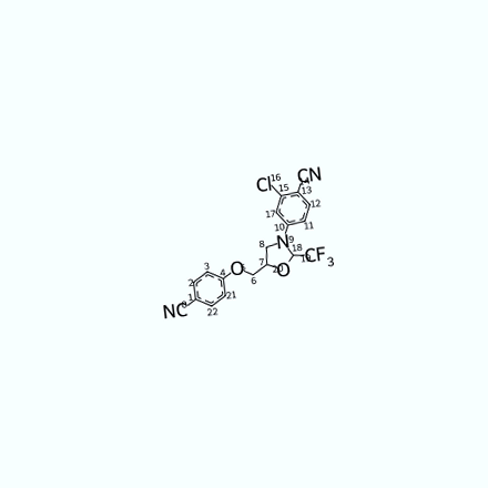 N#Cc1ccc(OCC2CN(c3ccc(C#N)c(Cl)c3)C(C(F)(F)F)O2)cc1